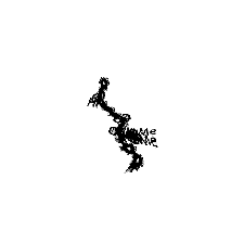 COP(=O)(CNC(Cc1ccc(-c2ccccc2)cc1)C(=O)NCCC(=O)OCCCCCNC(=O)OCc1ccccc1)OC